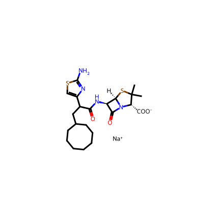 CC1(C)S[C@@H]2[C@H](NC(=O)C(CC3CCCCCCC3)c3csc(N)n3)C(=O)N2[C@H]1C(=O)[O-].[Na+]